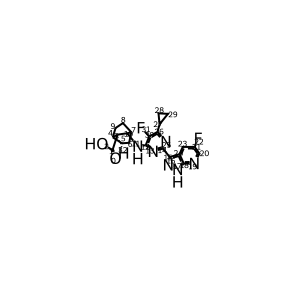 O=C(O)[C@H]1C2CCC(CC2)C1Nc1nc(-c2n[nH]c3ncc(F)cc23)nc(C2CC2)c1F